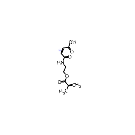 C=C(C)C(=O)OCCNC(=O)/C=C\C(=O)O